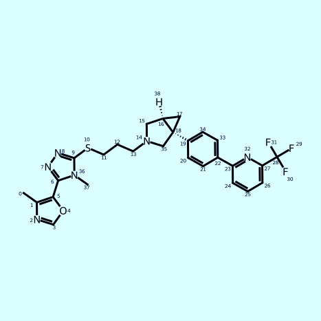 Cc1ncoc1-c1nnc(SCCCN2C[C@H]3C[C@@]3(c3ccc(-c4cccc(C(F)(F)F)n4)cc3)C2)n1C